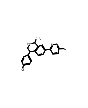 CC1NCC(c2ccc(Cl)cc2)c2ccc(-c3ccc(Cl)nn3)cc21